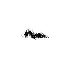 CN(C(=O)c1cc(NC(=O)[C@H]2[C@H](c3ccc(Cl)c(Cl)c3)C2(Cl)Cl)ccc1Cl)c1ccc(F)c(N(C)C(=O)OC(C)(C)C)c1F